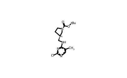 Cc1cnc(Cl)nc1NC[C@H]1CCN(C(=O)OC(C)(C)C)C1